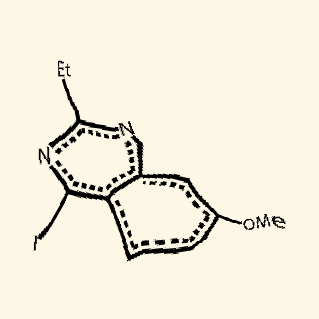 CCc1nc(I)c2ccc(OC)cc2n1